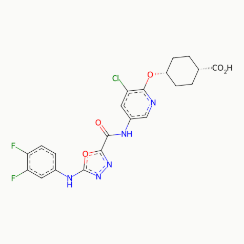 O=C(Nc1cnc(O[C@H]2CC[C@@H](C(=O)O)CC2)c(Cl)c1)c1nnc(Nc2ccc(F)c(F)c2)o1